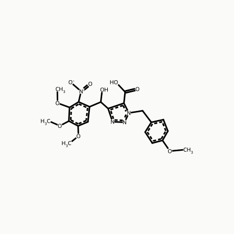 COc1ccc(Cn2nnc(C(O)c3cc(OC)c(OC)c(OC)c3[N+](=O)[O-])c2C(=O)O)cc1